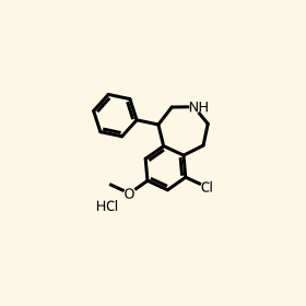 COc1cc(Cl)c2c(c1)C(c1ccccc1)CNCC2.Cl